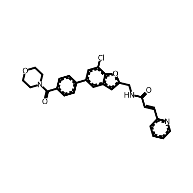 O=C(/C=C/c1ccccn1)NCc1cc2cc(-c3ccc(C(=O)N4CCOCC4)cc3)cc(Cl)c2o1